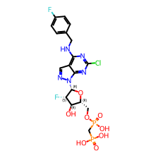 O=P(O)(O)CP(=O)(O)OC[C@H]1O[C@@H](n2ncc3c(NCc4ccc(F)cc4)nc(Cl)nc32)[C@@H](F)[C@@H]1O